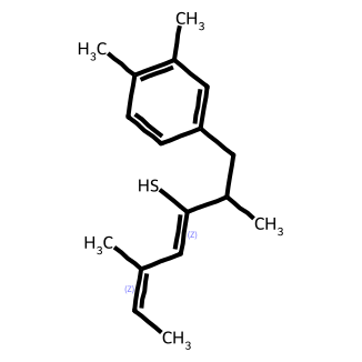 C/C=C(C)\C=C(/S)C(C)Cc1ccc(C)c(C)c1